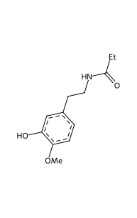 CCC(=O)NCCc1ccc(OC)c(O)c1